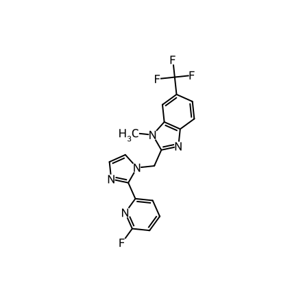 Cn1c(Cn2ccnc2-c2cccc(F)n2)nc2ccc(C(F)(F)F)cc21